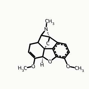 COC1=CCC2C3N(C)[C@]34C[C@@]23c2c4ccc(OC)c2O[C@@H]13